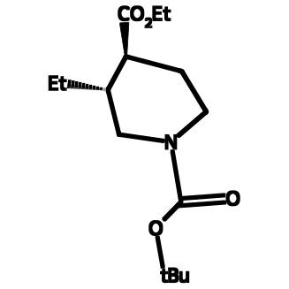 CCOC(=O)[C@H]1CCN(C(=O)OC(C)(C)C)C[C@@H]1CC